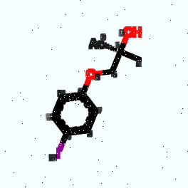 CC(=O)[C@@](C)(O)COc1ccc(I)cc1